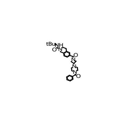 CC(C)(C)NC(=O)N1CCc2cc(C(=O)N3CC(N4CCN(C(=O)c5ccccc5)CC4)C3)ccc2C1